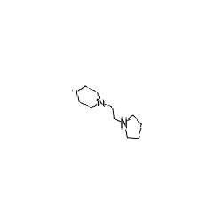 [CH]1CCN(CCN2CCCC2)CC1